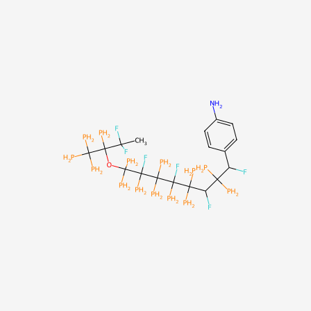 CC(F)(F)C(P)(OC(P)(P)C(F)(P)C(P)(P)C(F)(P)C(P)(P)C(F)C(P)(P)C(F)c1ccc(N)cc1)C(P)(P)P